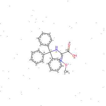 CON=C(NC(c1ccccc1)(c1ccccc1)c1ccccc1)C(=O)O